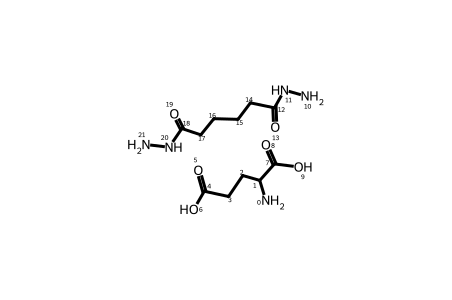 NC(CCC(=O)O)C(=O)O.NNC(=O)CCCCC(=O)NN